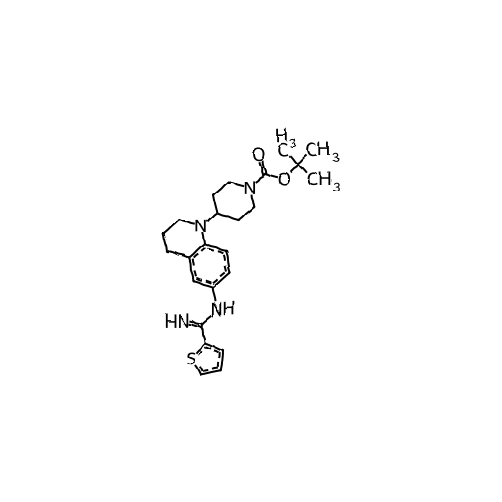 CC(C)(C)OC(=O)N1CCC(N2CCCc3cc(NC(=N)c4cccs4)ccc32)CC1